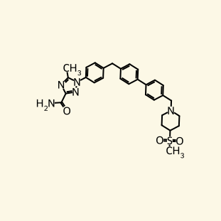 Cc1nc(C(N)=O)nn1-c1ccc(Cc2ccc(-c3ccc(CN4CCC(S(C)(=O)=O)CC4)cc3)cc2)cc1